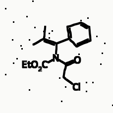 CCOC(=O)N(C(=O)CCl)C(=C(C)C)c1ccccc1